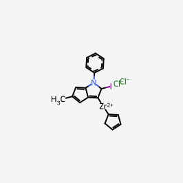 CC1=CC2=[C]([Zr+2][C]3=CC=CC3)C(I)N(c3ccccc3)C2=C1.[Cl-].[Cl-]